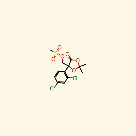 CC1(C)OC(=O)C(COS(C)(=O)=O)(c2ccc(Cl)cc2Cl)O1